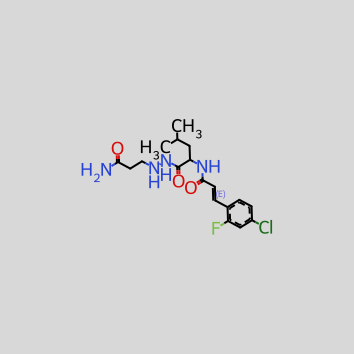 CC(C)CC(NC(=O)/C=C/c1ccc(Cl)cc1F)C(=O)NNCCC(N)=O